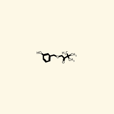 CC(C)(C)C(=O)COCc1cccc(O)c1